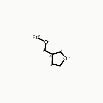 CCOCC1CCOC1